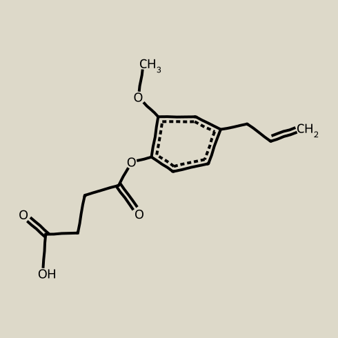 C=CCc1ccc(OC(=O)CCC(=O)O)c(OC)c1